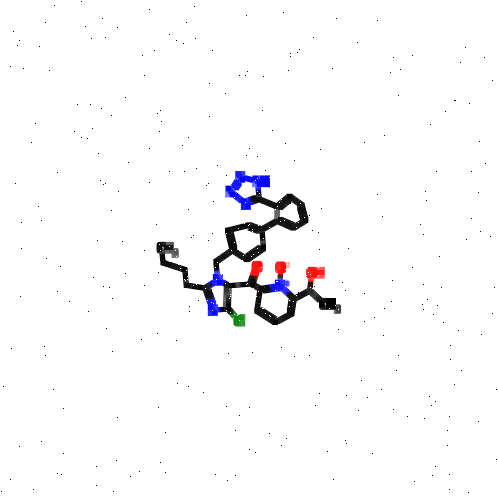 CCCCc1nc(Cl)c(C(=O)c2cccc(C(C)O)[n+]2[O-])n1Cc1ccc(-c2ccccc2-c2nnn[nH]2)cc1